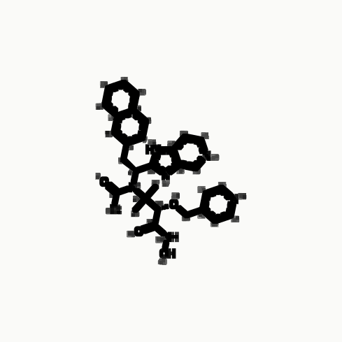 CCC(=O)N([C@@H](Cc1ccc2ccccc2c1)c1nc2cnccc2[nH]1)C(C)(C)[C@H](OCc1ccncc1)C(=O)NO